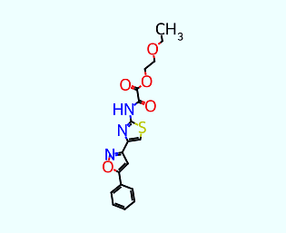 CCOCCOC(=O)C(=O)Nc1nc(-c2cc(-c3ccccc3)on2)cs1